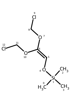 C[Si](C)(C)OC=C(OCCl)OCCl